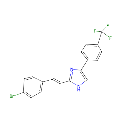 FC(F)(F)c1ccc(-c2c[nH]c(C=Cc3ccc(Br)cc3)n2)cc1